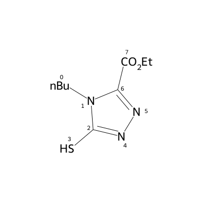 CCCCn1c(S)nnc1C(=O)OCC